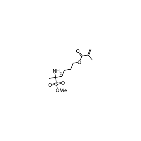 C=C(C)C(=O)OCCCCC(C)(N)S(=O)(=O)OC